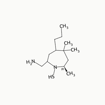 CCCC1CC(CN)N(S)[C@H](C)CC1(C)C